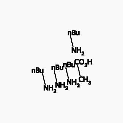 CC(=O)O.CCCCN.CCCCN.CCCCN.CCCCN